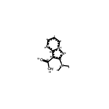 CN(C)c1nn2cccnc2c1C(=O)O